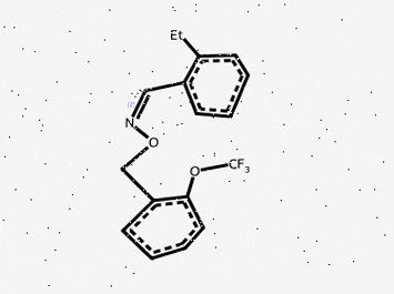 CCc1ccccc1/[C]=N\OCc1ccccc1OC(F)(F)F